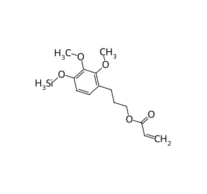 C=CC(=O)OCCCc1ccc(O[SiH3])c(OC)c1OC